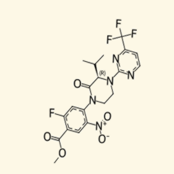 COC(=O)c1cc([N+](=O)[O-])c(N2CCN(c3nccc(C(F)(F)F)n3)[C@H](C(C)C)C2=O)cc1F